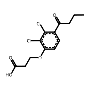 CCCC(=O)c1ccc(OCCC(=O)O)c(Cl)c1Cl